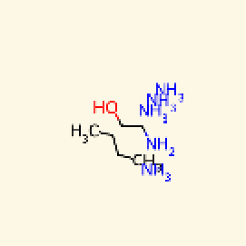 CCCC.N.N.N.N.NCCO